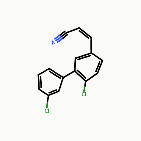 N#C/C=C\c1ccc(Cl)c(-c2cccc(Cl)c2)c1